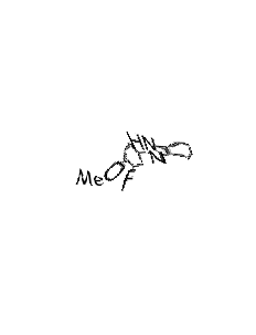 COc1ccc(-c2nc3ccccc3[nH]2)cc1F